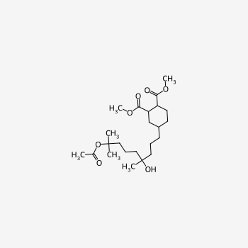 COC(=O)C1CCC(CCCC(C)(O)CCCC(C)(C)OC(C)=O)CC1C(=O)OC